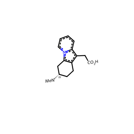 CN[C@H]1CCc2c(CC(=O)O)c3ccccn3c2C1